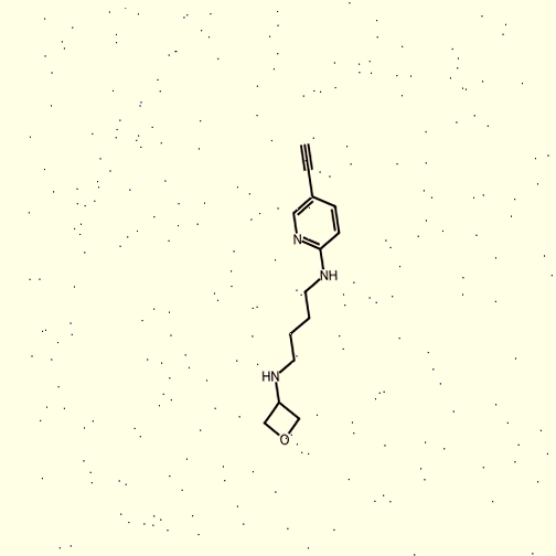 C#Cc1ccc(NCCCCNC2COC2)nc1